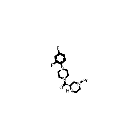 CC(C)N1CCN[C@@H](C(=O)N2CCN(c3ccc(F)cc3F)CC2)C1